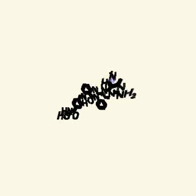 CC[C@H](Nc1nc(N)nc(C)c1/C=N/C)c1nc2cccc(NCc3ccc(C(=O)NO)cc3)c2c(=O)n1-c1ccccc1